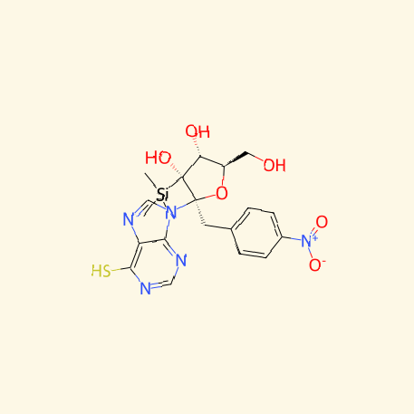 C[Si](C)(C)[C@@]1(O)[C@H](O)[C@@H](CO)O[C@@]1(Cc1ccc([N+](=O)[O-])cc1)n1cnc2c(S)ncnc21